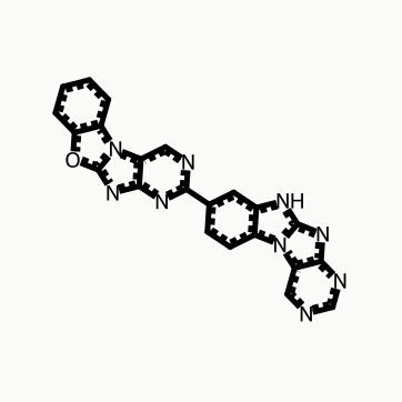 c1ccc2c(c1)oc1nc3nc(-c4ccc5c(c4)[nH]c4nc6ncncc6n45)ncc3n12